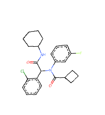 O=C(NC1CCCCC1)C(c1ccccc1Cl)N(C(=O)C1CCC1)c1cccc(F)c1